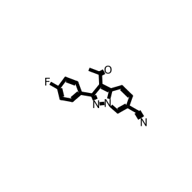 CC(=O)c1c(-c2ccc(F)cc2)nn2cc(C#N)ccc12